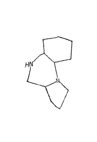 C1CCC2C(C1)NCC1CCCN12